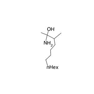 CCCCCCCCCCC(C)C(C)(N)O